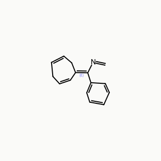 C=N/C(=C1/C=CCC=CC1)c1ccccc1